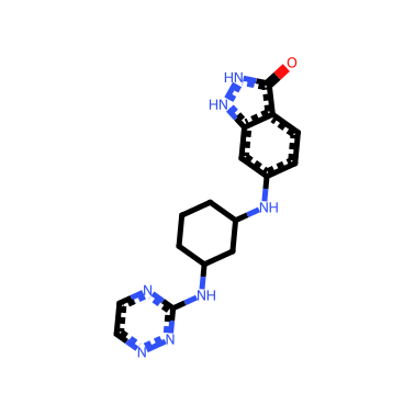 O=c1[nH][nH]c2cc(NC3CCCC(Nc4nccnn4)C3)ccc12